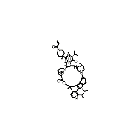 C=CC(=O)N1CCC(F)(C(=O)N(C)[C@H](C(=O)N[C@H]2C[C@H]3CN(CCO3)c3ccc4c(c3)c(c(-c3cccnc3C(C)C)n4CC)CC(C)(C)COC(=O)[C@@H]3CCCN(N3)C2=O)C(C)C)CC1